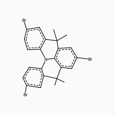 CC1(C)c2cc(Br)ccc2N2c3ccc(Br)cc3C(C)(C)c3cc(Br)cc1c32